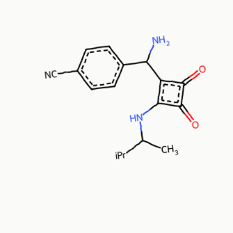 CC(C)C(C)Nc1c(C(N)c2ccc(C#N)cc2)c(=O)c1=O